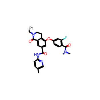 Cc1ccc(NC(=O)c2cc(Oc3ccc(C(=O)N(C)C)c(F)c3)c3c(c2)C(=O)N(CC(C)C)CC3)nc1